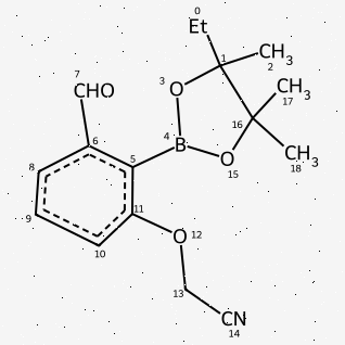 CCC1(C)OB(c2c(C=O)cccc2OCC#N)OC1(C)C